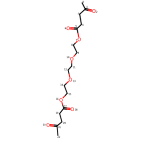 CC(=O)CCC(=O)OCCOCCOCCOC(=O)CCC(C)=O